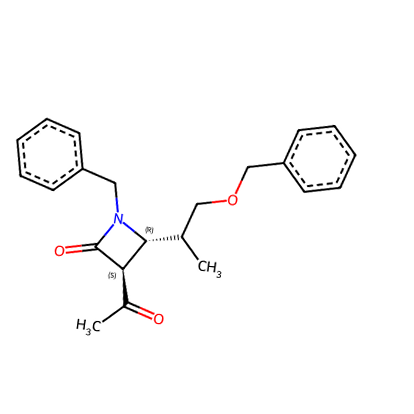 CC(=O)[C@H]1C(=O)N(Cc2ccccc2)[C@@H]1C(C)COCc1ccccc1